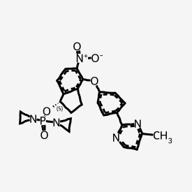 Cc1ccnc(-c2ccc(Oc3c([N+](=O)[O-])ccc4c3CC[C@@H]4OP(=O)(N3CC3)N3CC3)cc2)n1